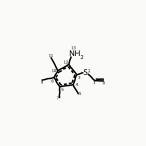 C=CSc1c(C)c(C)c(C)c(C)c1N